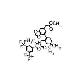 COC(=O)Cc1cc2c(c(C3=C(CN4C(=O)O[C@H](c5cc(C(F)(F)F)cc(C(F)(F)F)c5)[C@@H]4C)CC(C)(C)CC3)c1)OCO2